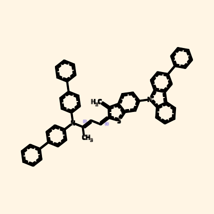 C=c1/c(=C\C=C(/C)N(c2ccc(-c3ccccc3)cc2)c2ccc(-c3ccccc3)cc2)sc2cc(-n3c4ccccc4c4cc(-c5ccccc5)ccc43)ccc12